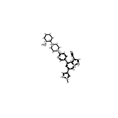 Cn1cc(-c2cc(-c3ccc(N4CCN([C@@H]5CCCC[C@H]5O)CC4)nc3)c3c(C#N)cnn3c2)cn1